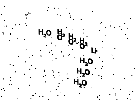 O.O.O.O.O.O.O.[Li]